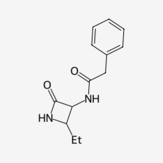 CCC1NC(=O)C1NC(=O)Cc1ccccc1